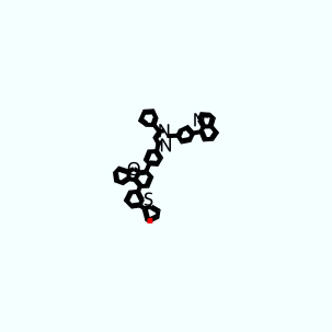 c1ccc(-c2cc(-c3ccc(-c4ccc(-c5cccc6c5sc5ccccc56)c5c4oc4ccccc45)cc3)nc(-c3ccc(-c4cccc5cccnc45)cc3)n2)cc1